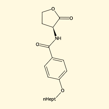 CCCCCCCOc1ccc(C(=O)N[C@H]2CCOC2=O)cc1